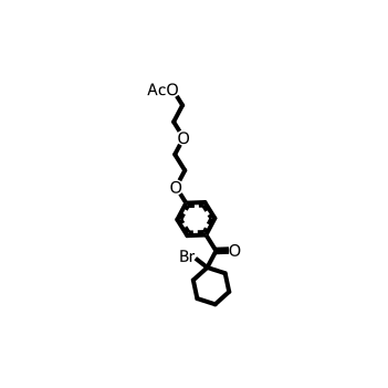 CC(=O)OCCOCCOc1ccc(C(=O)C2(Br)CCCCC2)cc1